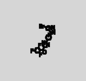 O=C(c1cnc(C2=CCN(c3ncnn4cc(Br)cc34)CC2)nc1)c1c(F)cc(F)cc1F